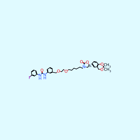 CC1(C)OCc2cc([C@@H]3CN(CCCCCCOCCOCc4cccc(NC(=O)Nc5cccc(I)c5)c4)C(=O)O3)ccc2O1